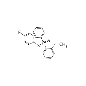 CCc1ccccc1P(=S)(Sc1ccc(F)cc1)c1ccccc1